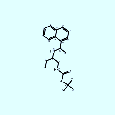 CCC(CNC(=O)OC(C)(C)C)NC(C)c1cccc2ccccc12